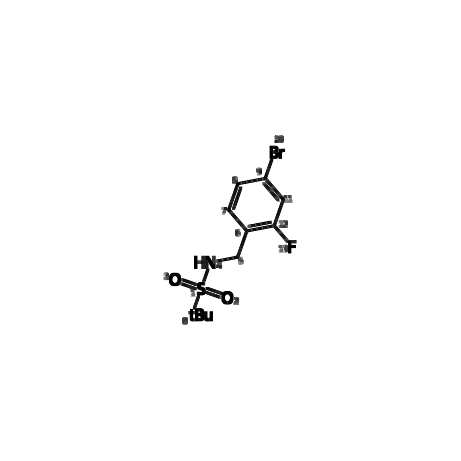 CC(C)(C)S(=O)(=O)NCc1ccc(Br)cc1F